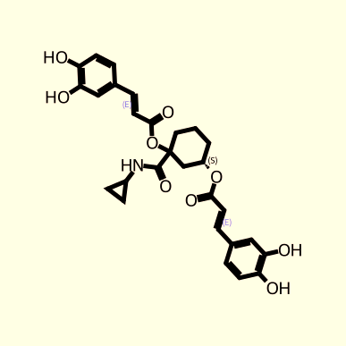 O=C(/C=C/c1ccc(O)c(O)c1)O[C@H]1CCCC(OC(=O)/C=C/c2ccc(O)c(O)c2)(C(=O)NC2CC2)C1